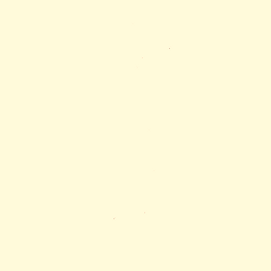 O=C(COC(=O)C1CC2C=CC1C2)OC12CC3CC(CC(C3)C1)C2